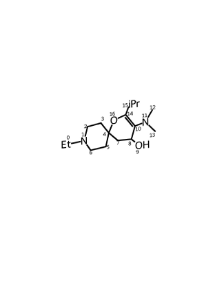 CCN1CCC2(CC1)CC(O)C(N(C)C)=C(C(C)C)O2